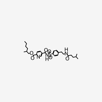 CCCCC(C)COC(=O)c1ccc(C(=O)NS(=O)(=O)c2ccc(CCNC(=O)CCC(C)C)cc2)cn1